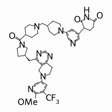 COc1ncc(N2CCc3ncnc(C[C@H]4CCN(C(=O)C5CCN(CC6CCN(c7cncc(C8CCC(=O)NC8=O)c7)CC6)CC5)C4)c3C2)cc1C(F)(F)F